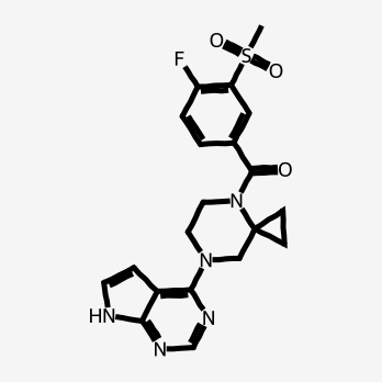 CS(=O)(=O)c1cc(C(=O)N2CCN(c3ncnc4[nH]ccc34)CC23CC3)ccc1F